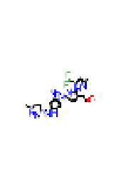 Cc1ccc(Nc2ccc3c(c2)ncn3-c2ccc(CC=O)c(-n3nc(C)cc3C(F)F)n2)nn1